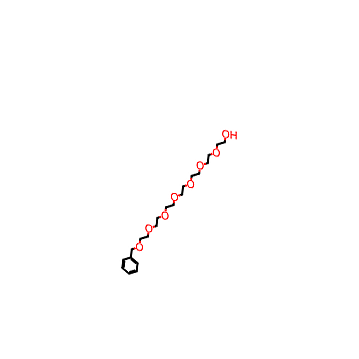 OCCOCCOCCOCCOCCOCCOCCOCc1ccccc1